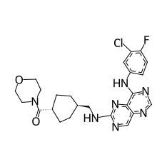 O=C([C@H]1CC[C@H](CNc2ncc3ncnc(Nc4ccc(F)c(Cl)c4)c3n2)CC1)N1CCOCC1